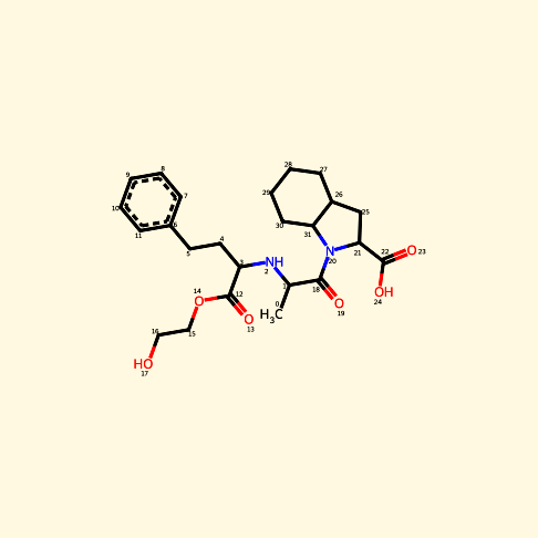 CC(NC(CCc1ccccc1)C(=O)OCCO)C(=O)N1C(C(=O)O)CC2CCCCC21